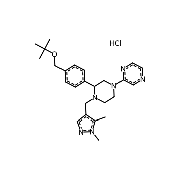 Cc1c(CN2CCN(c3cnccn3)CC2c2ccc(COC(C)(C)C)cc2)cnn1C.Cl